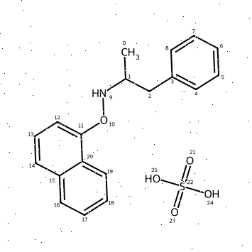 CC(Cc1ccccc1)NOc1cccc2ccccc12.O=S(=O)(O)O